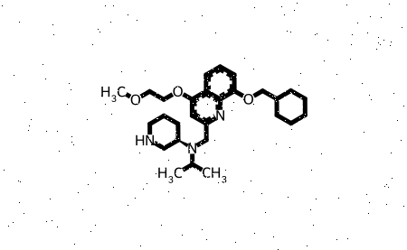 COCCOc1cc(CN(C(C)C)[C@@H]2CCCNC2)nc2c(OCC3CCCCC3)cccc12